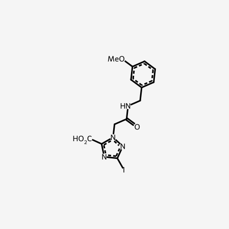 COc1cccc(CNC(=O)Cn2nc(I)nc2C(=O)O)c1